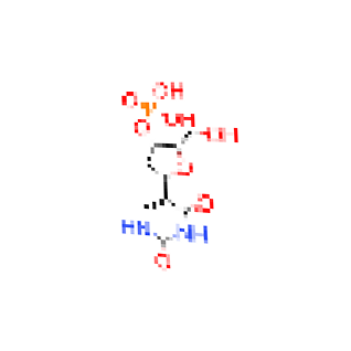 O=c1[nH]cc([C@H]2C[C@H](OP(=O)(O)O)[C@@H](CO)O2)c(=O)[nH]1